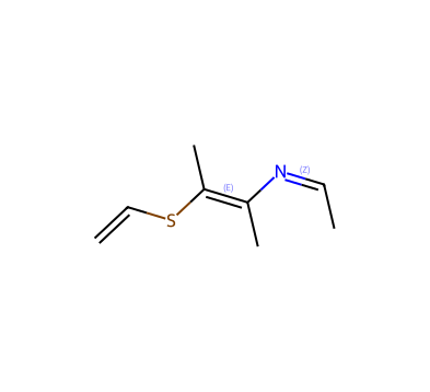 C=CS/C(C)=C(C)/N=C\C